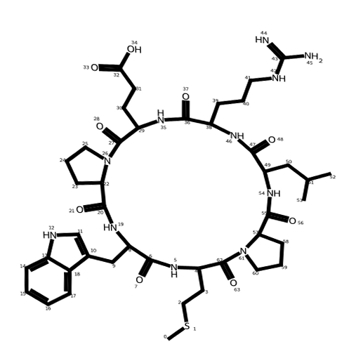 CSCCC1NC(=O)C(Cc2c[nH]c3ccccc23)NC(=O)C2CCCN2C(=O)C(CCC(=O)O)NC(=O)C(CCCNC(=N)N)NC(=O)C(CC(C)C)NC(=O)C2CCCN2C1=O